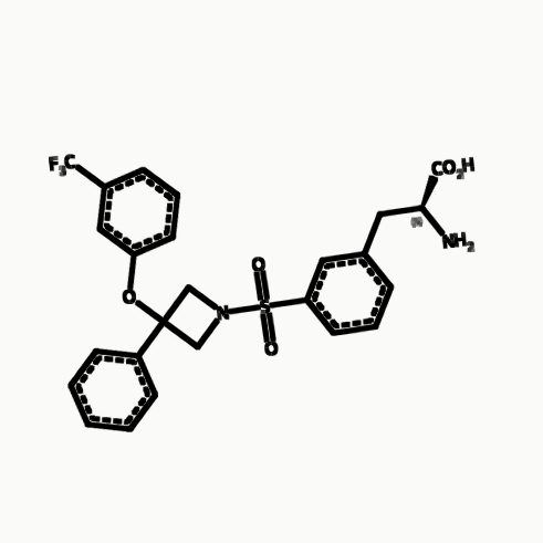 N[C@@H](Cc1cccc(S(=O)(=O)N2CC(Oc3cccc(C(F)(F)F)c3)(c3ccccc3)C2)c1)C(=O)O